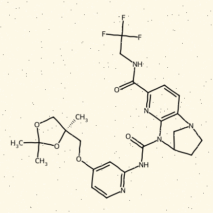 CC1(C)OC[C@@](C)(COc2ccnc(NC(=O)N3c4nc(C(=O)NCC(F)(F)F)ccc4N4CCC3C4)c2)O1